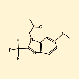 COc1ccc2nc(C(F)(F)F)n(CC(C)=O)c2c1